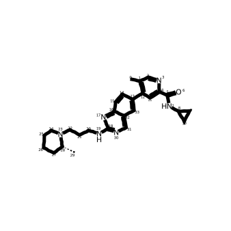 Cc1cnc(C(=O)NC2CC2)cc1-c1ccc2nc(NCCCN3CCCC[C@H]3C)ncc2c1